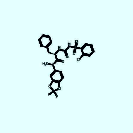 CN(C(=O)[C@H](Cc1ccccc1)NC(=O)NS(=O)(=O)c1ccccc1Cl)c1ccc2c(c1)OC(F)(F)O2